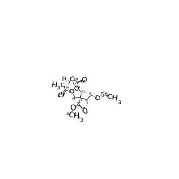 COC(=O)C(CCOSC)(COC(C)=O)COC(C)=O